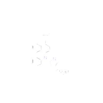 CCOC(=O)c1cnc(N(c2ccccc2)c2ccc(C3CC3)c3ccccc23)s1